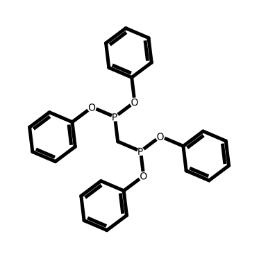 c1ccc(OP(CP(Oc2ccccc2)Oc2ccccc2)Oc2ccccc2)cc1